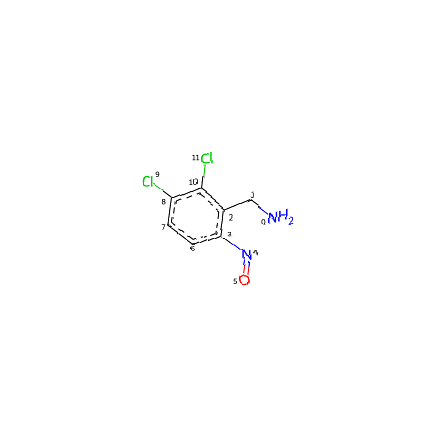 NCc1c(N=O)ccc(Cl)c1Cl